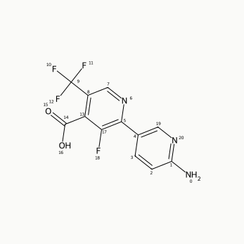 Nc1ccc(-c2ncc(C(F)(F)F)c(C(=O)O)c2F)cn1